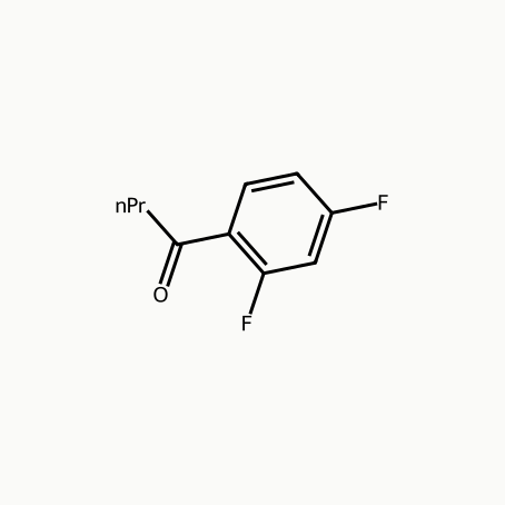 [CH2]CCC(=O)c1ccc(F)cc1F